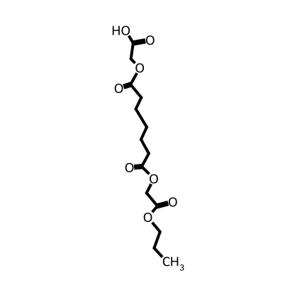 CCCOC(=O)COC(=O)CCCCCC(=O)OCC(=O)O